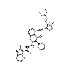 CCN(CC)CCc1c(C#Cc2cccc3cc([C@H](C)NC(=O)c4c(C)nn5cccnc45)n(-c4ccccc4)c(=O)c23)cnn1C